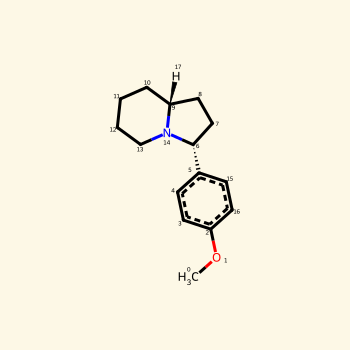 COc1ccc([C@H]2CC[C@H]3CCCCN32)cc1